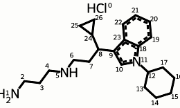 Cl.NCCCNCCC(c1cn(C2CCCCC2)c2ccccc12)C1CC1